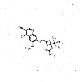 COc1cc2c(Cl)c(C#N)cnc2cc1OCC1CC(OC(N)=O)(C(C)(C)C)C1